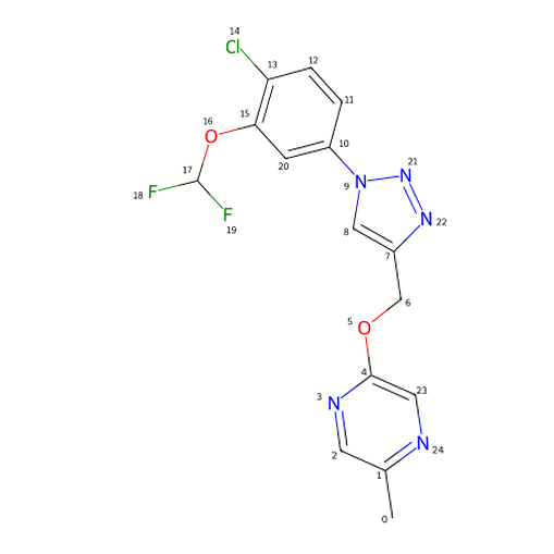 Cc1cnc(OCc2cn(-c3ccc(Cl)c(OC(F)F)c3)nn2)cn1